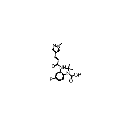 Cn1cc(C=CC(=O)Nc2cc(F)ccc2N(C(=O)O)C(C)(C)C)cn1